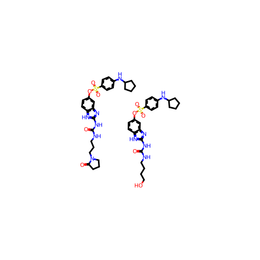 O=C(NCCCCO)Nc1nc2cc(OS(=O)(=O)c3ccc(NC4CCCC4)cc3)ccc2[nH]1.O=C(NCCCN1CCCC1=O)Nc1nc2cc(OS(=O)(=O)c3ccc(NC4CCCC4)cc3)ccc2[nH]1